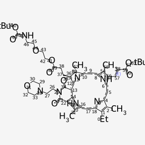 CCC1=C(C)c2cc3[nH]c(cc4nc(c5c6[nH]c(cc1n2)c(C)c6C(=O)N(CCN1CCOCC1)C5=O)[C@@H](CCC(=O)OCCOCCNC(=O)OC(C)(C)C)[C@@H]4C)c(C)c3/C=C/C(=O)OC(C)(C)C